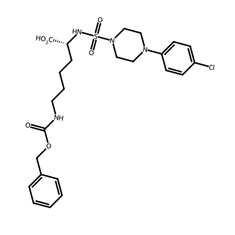 O=C(NCCCC[C@@H](NS(=O)(=O)N1CCN(c2ccc(Cl)cc2)CC1)C(=O)O)OCc1ccccc1